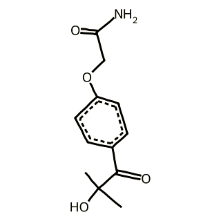 CC(C)(O)C(=O)c1ccc(OCC(N)=O)cc1